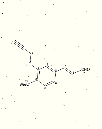 C#CCOc1cc(/C=C/C=O)ccc1OC